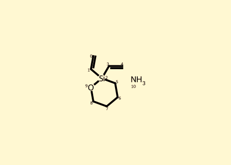 C=C[Si]1(C=C)CCCCO1.N